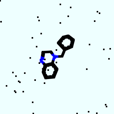 C1=Nc2ccccc2N(Cc2ccccc2)C1